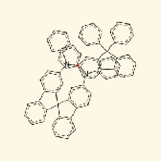 c1ccc(N(c2ccccc2)c2ccc3c(c2)C2(c4ccccc4-3)c3ccccc3-c3ccc(N(c4ccccc4)c4ccc5c(c4)C(c4ccccc4)(c4ccccc4)c4ccccc4-5)cc32)cc1